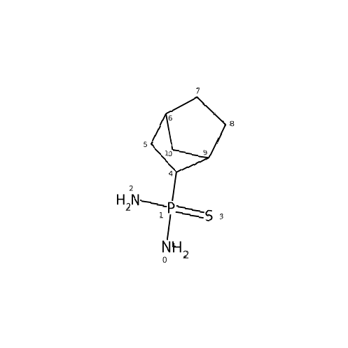 NP(N)(=S)C1CC2CCC1C2